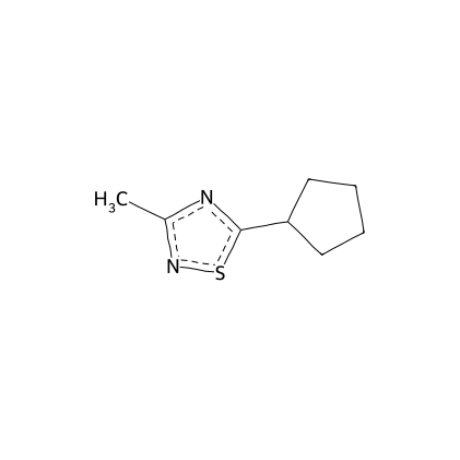 Cc1nsc(C2CCCC2)n1